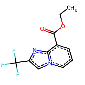 CCOC(=O)c1cccn2cc(C(F)(F)F)nc12